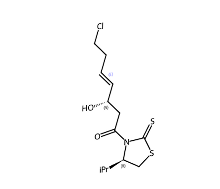 CC(C)[C@@H]1CSC(=S)N1C(=O)C[C@H](O)/C=C/CCCl